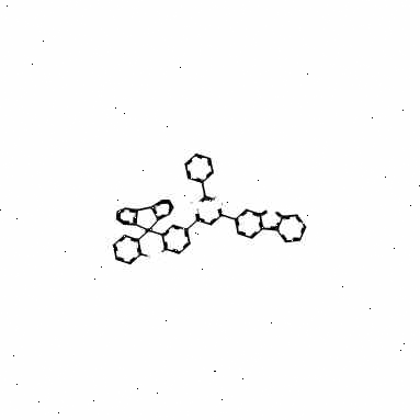 c1ccc(-c2nc(-c3ccc4c(c3)C3(c5ccccc5O4)c4ccccc4-c4ccccc43)cc(-c3ccc4c(c3)sc3ccccc34)n2)cc1